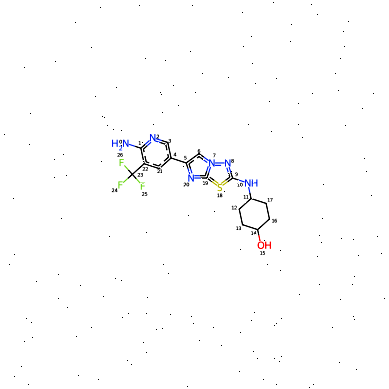 Nc1ncc(-c2cn3nc(NC4CCC(O)CC4)sc3n2)cc1C(F)(F)F